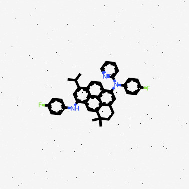 CC(C)c1cc(Nc2ccc(F)cc2)c2cc3c4c(cc(N(c5ccc(F)cc5)c5ccccn5)c5ccc1c2c54)CCC3(C)C